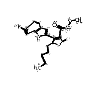 CCCCCC1OC(=O)C(C(=O)NOC)=C1c1cc2ccc(F)cc2[nH]1